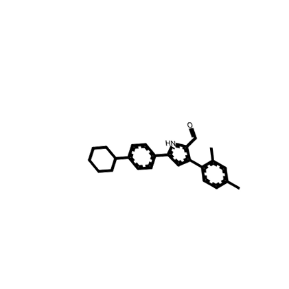 Cc1ccc(-c2cc(-c3ccc(C4CCCCC4)cc3)[nH]c2C=O)c(C)c1